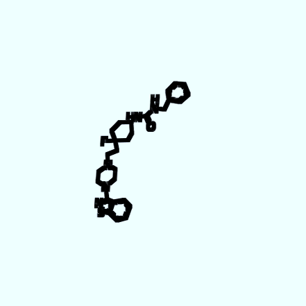 O=C(NCc1ccccc1)NC1CCC(F)(CCN2CCN(c3nsc4ccccc34)CC2)CC1